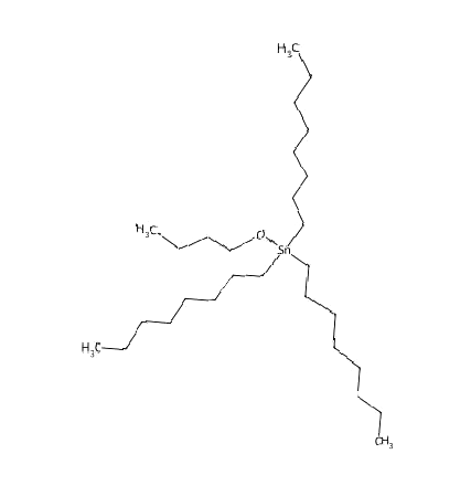 CCCCCCC[CH2][Sn]([CH2]CCCCCCC)([CH2]CCCCCCC)[O]CCCC